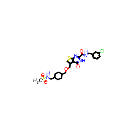 CS(=O)(=O)NCC1CCC(COCc2csc3nc(C(=O)NCc4cccc(Cl)c4)[nH]c(=O)c23)CC1